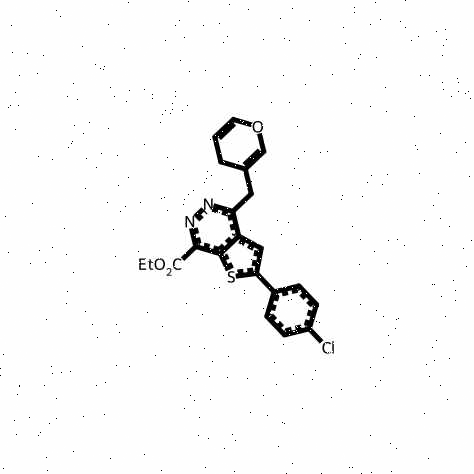 CCOC(=O)c1nnc(CC2=COC=CC2)c2cc(-c3ccc(Cl)cc3)sc12